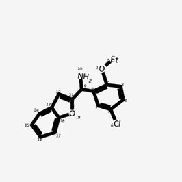 CCOc1ccc(Cl)cc1C(N)c1cc2ccccc2o1